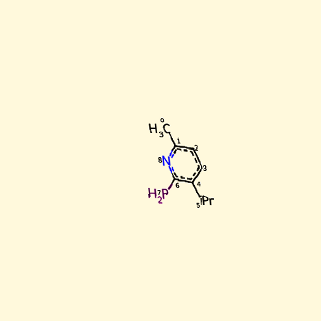 Cc1ccc(C(C)C)c(P)n1